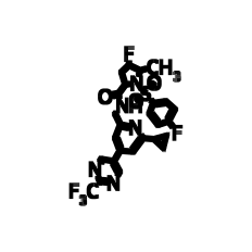 CC1C(F)CC(C(=O)NCc2cc(-c3cnc(C(F)(F)F)nc3)cc(C3CC3)n2)N1S(=O)(=O)c1ccc(F)cc1